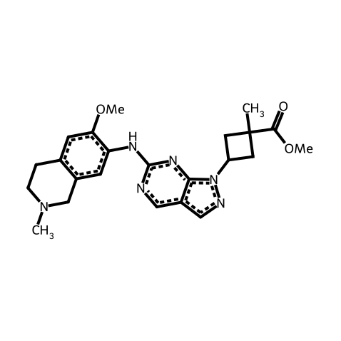 COC(=O)C1(C)CC(n2ncc3cnc(Nc4cc5c(cc4OC)CCN(C)C5)nc32)C1